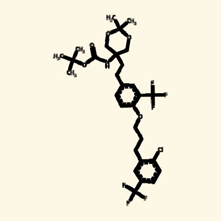 CC(C)(C)OC(=O)NC1(CCc2ccc(OCCCc3cc(C(F)(F)F)ccc3Cl)c(C(F)(F)F)c2)COC(C)(C)OC1